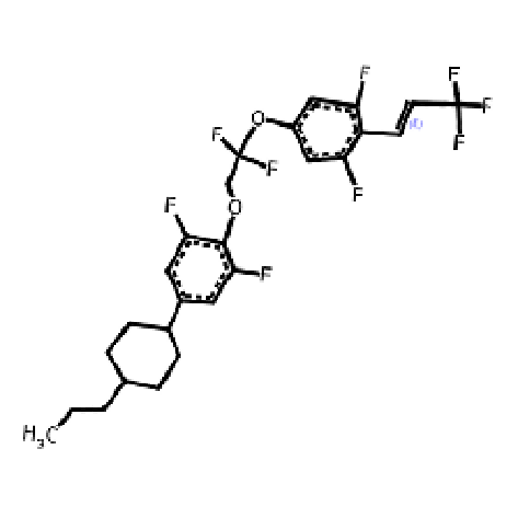 CCCC1CCC(c2cc(F)c(OCC(F)(F)Oc3cc(F)c(/C=C/C(F)(F)F)c(F)c3)c(F)c2)CC1